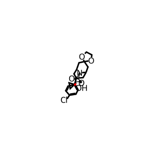 O=S(=O)(c1ccc(Cl)cc1)N1C2CC(C3(O)CC3)CC1CC1(C2)OCCO1